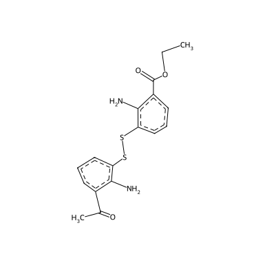 CCOC(=O)c1cccc(SSc2cccc(C(C)=O)c2N)c1N